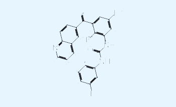 O=C(Nc1cccc(F)c1)Nc1cc(F)cc(C(=O)c2ccc3ncccc3c2)c1F